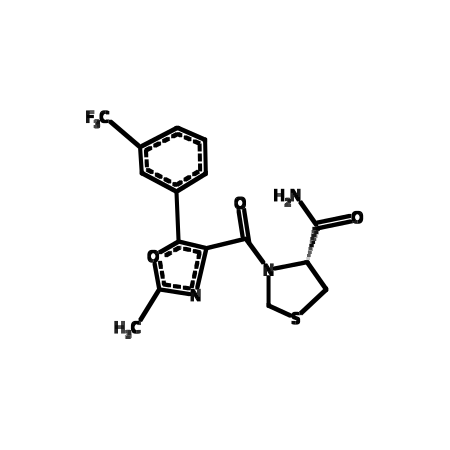 Cc1nc(C(=O)N2CSC[C@H]2C(N)=O)c(-c2cccc(C(F)(F)F)c2)o1